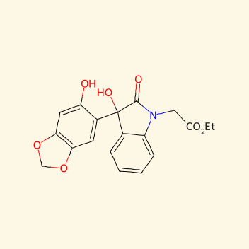 CCOC(=O)CN1C(=O)C(O)(c2cc3c(cc2O)OCO3)c2ccccc21